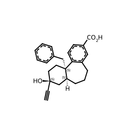 C#C[C@]1(O)CC[C@@]2(Cc3ccccc3)c3ccc(C(=O)O)cc3CCC[C@H]2C1